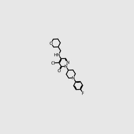 O=c1c(Cl)c(NCC2CCCOC2)cnn1C1CCN(c2ccc(F)cc2)CC1